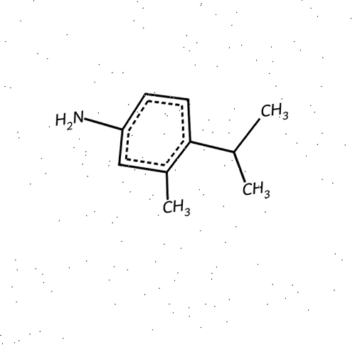 Cc1cc(N)ccc1C(C)C